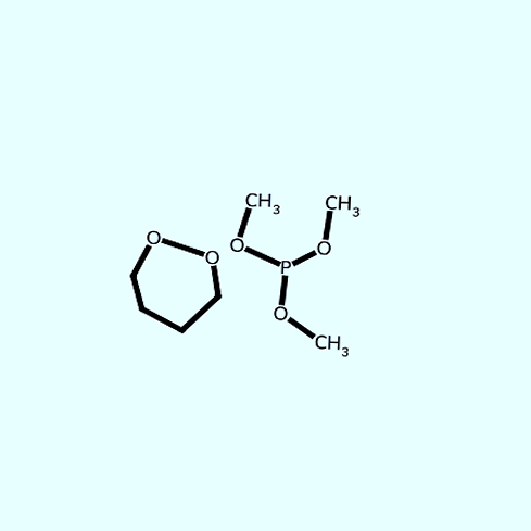 C1CCOOC1.COP(OC)OC